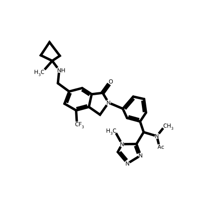 CC(=O)N(C)C(c1cccc(N2Cc3c(cc(CNC4(C)CCC4)cc3C(F)(F)F)C2=O)c1)c1nncn1C